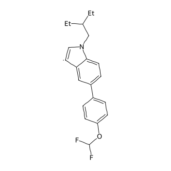 CCC(CC)Cn1c[c]c2cc(-c3ccc(OC(F)F)cc3)ccc21